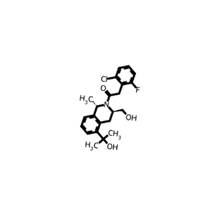 C[C@H]1c2cccc(C(C)(C)O)c2C[C@H](CO)N1C(=O)Cc1c(F)cccc1Cl